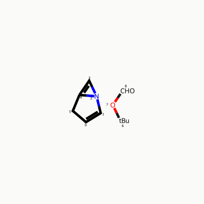 C1=CN2C=C2C1.CC(C)(C)OC=O